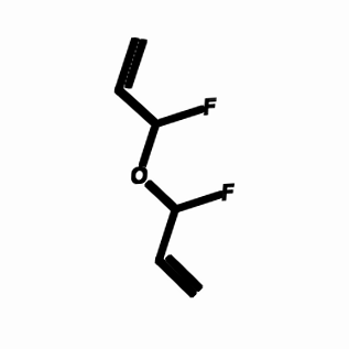 C=CC(F)OC(F)C=C